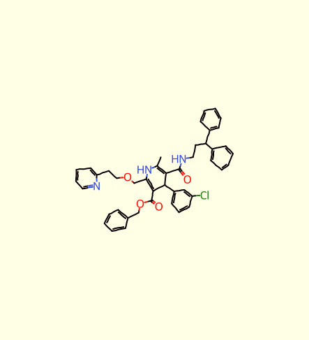 CC1=C(C(=O)NCCC(c2ccccc2)c2ccccc2)C(c2cccc(Cl)c2)C(C(=O)OCc2ccccc2)=C(COCCc2ccccn2)N1